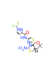 CC1(C)C[C@H]2CSC(N)=N[C@@]2(c2nc(NC(=O)c3ccn(C(F)F)n3)cs2)CO1